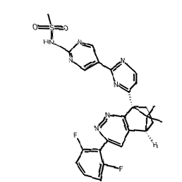 CC1(C)[C@H]2CC[C@]1(c1ccnc(-c3cnc(NS(C)(=O)=O)nc3)n1)c1nnc(-c3c(F)cccc3F)cc12